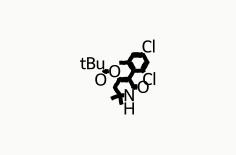 Cc1cc(Cl)cc(Cl)c1C1=C(OC(=O)C(C)(C)C)CC(C)(C)NC1=O